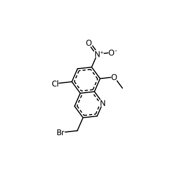 COc1c([N+](=O)[O-])cc(Cl)c2cc(CBr)cnc12